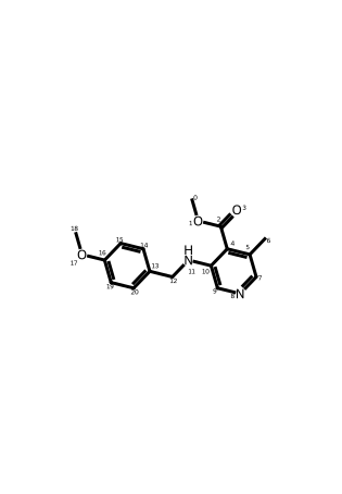 COC(=O)c1c(C)cncc1NCc1ccc(OC)cc1